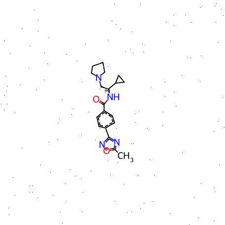 Cc1nc(-c2ccc(C(=O)N[C@@H](CN3CCCC3)C3CC3)cc2)no1